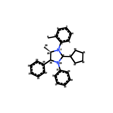 Cc1ccccc1N1C(C2CCCC2)N(c2ccccc2)C(c2ccccc2)[C@@H]1C